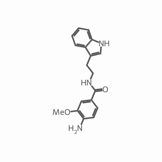 COc1cc(C(=O)NCCc2c[nH]c3ccccc23)ccc1N